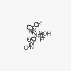 COc1cc(Nc2nc3n(n2)CCCCC3c2ccc(F)cc2)ccc1-n1cnc(Cl)c1.O=C(O)C(F)(F)F